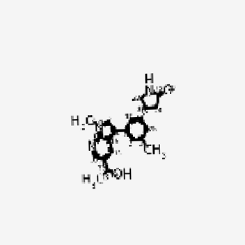 Cc1cc(-c2cn(C)c3ncc(C(C)O)cc23)cc([C@@H]2CNC(=O)C2)c1